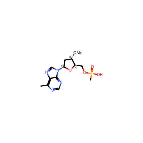 CO[C@H]1C[C@H](n2cnc3c(C)ncnc32)O[C@@H]1COP(C)(=O)O